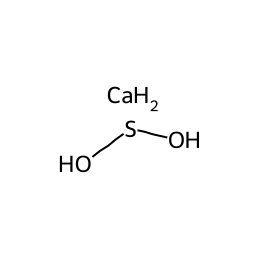 OSO.[CaH2]